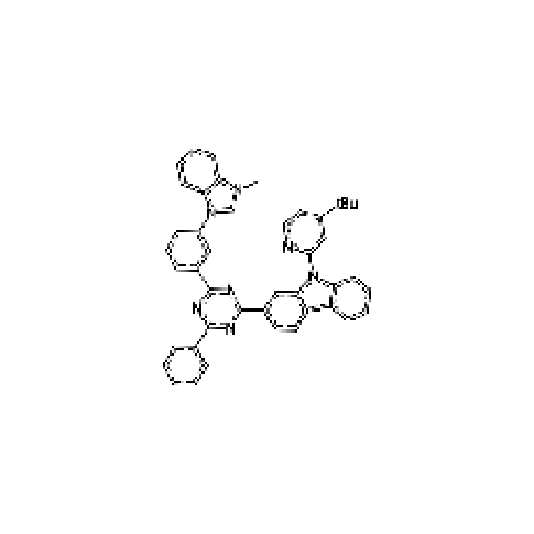 C[n+]1cn(-c2cccc(-c3nc(-c4ccccc4)nc(-c4ccc5c6ccccc6n(-c6cc(C(C)(C)C)ccn6)c5c4)n3)c2)c2ccccc21